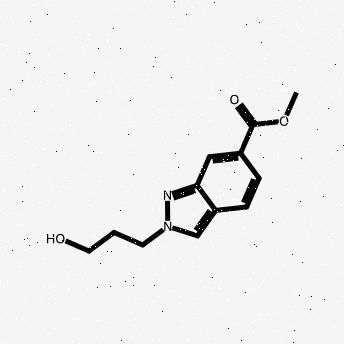 COC(=O)c1ccc2cn(CCCO)nc2c1